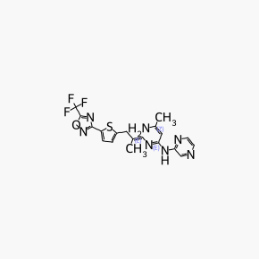 C/C(N)=C/C(=N\C=C(/C)Cc1ccc(-c2noc(C(F)(F)F)n2)s1)Nc1cnccn1